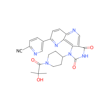 CC(C)(O)C(=O)N1CCC(n2c(=O)[nH]c(=O)c3cnc4ccc(-c5ccc(C#N)nc5)nc4c32)CC1